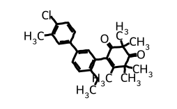 CCc1ccc(-c2ccc(Cl)c(C)c2)cc1C1=C(C)C(C)(C)C(=O)C(C)(C)C1=O